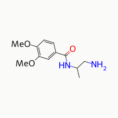 COc1ccc(C(=O)NC(C)CN)cc1OC